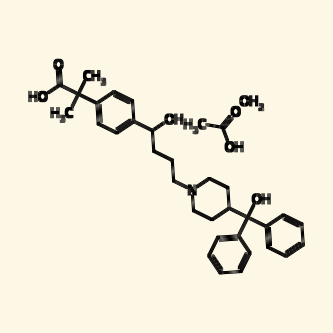 CC(=O)O.CC(C)(C(=O)O)c1ccc(C(O)CCCN2CCC(C(O)(c3ccccc3)c3ccccc3)CC2)cc1.O